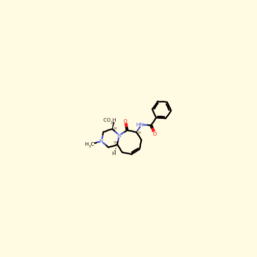 CN1C[C@@H]2CC=CC[C@H](NC(=O)c3ccccc3)C(=O)N2[C@H](C(=O)O)C1